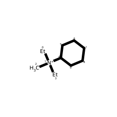 CC[N+](C)(CC)C1CCCCC1